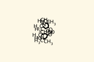 CON1C(C)(C)CC(OS(=O)(=O)OC2CC(C)(C)N(O)C(C)(C)C2)CC1(C)C